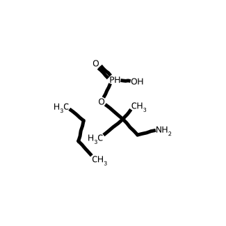 CC(C)(CN)O[PH](=O)O.CCCC